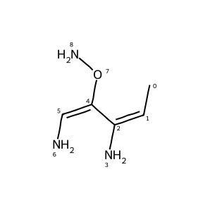 C/C=C(N)\C(=C/N)ON